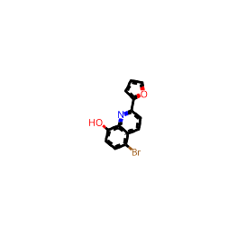 Oc1ccc(Br)c2ccc(-c3ccco3)nc12